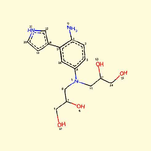 Nc1ccc(N(CC(O)CO)CC(O)CO)cc1-c1cc[nH]c1